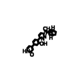 CN(c1ccc(-c2ccc(-c3cc[nH]c(=O)c3)cc2O)nn1)[C@@H]1C[C@H]2CC[C@@H](C1)N2